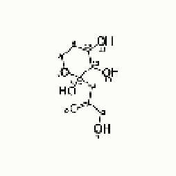 O=C(CO)CC1(O)OCCC(O)C1O